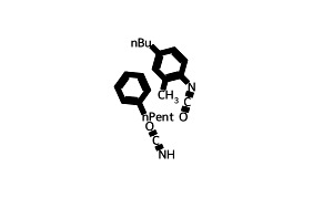 CCCCCc1ccccc1.CCCCc1ccc(N=C=O)c(C)c1.N=C=O